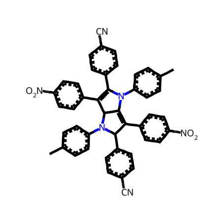 Cc1ccc(N2C(c3ccc(C#N)cc3)=C(c3ccc([N+](=O)[O-])cc3)C3C2=C(c2ccc([N+](=O)[O-])cc2)C(c2ccc(C#N)cc2)N3c2ccc(C)cc2)cc1